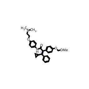 COCOc1ccc(/C(C(=O)Nc2ccc(OCCN(C)C)cc2)=C(\c2ccccc2)C2CC2)cc1